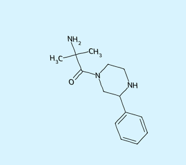 CC(C)(N)C(=O)N1CCNC(c2ccccc2)C1